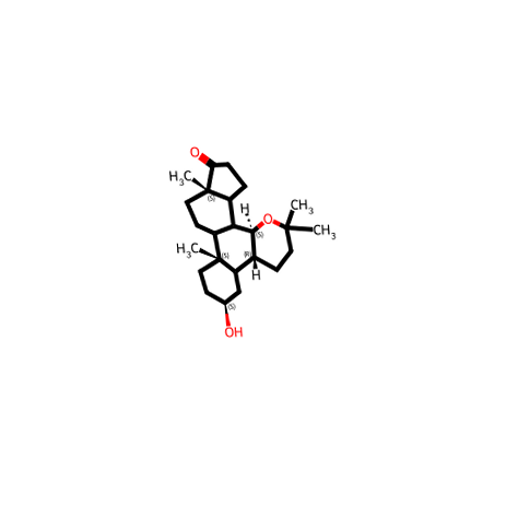 CC1(C)CC[C@@H]2C3C[C@@H](O)CC[C@]3(C)C3CC[C@]4(C)C(=O)CCC4C3[C@H]2O1